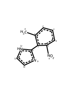 Cc1cccc([N+](=O)[O-])c1-c1ncc[nH]1